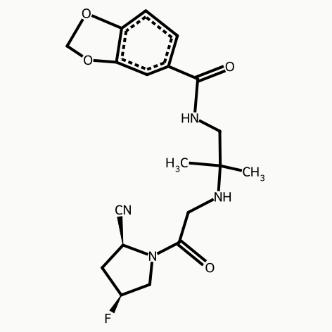 CC(C)(CNC(=O)c1ccc2c(c1)OCO2)NCC(=O)N1C[C@@H](F)C[C@H]1C#N